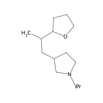 CC(CC1CCN(C(C)C)C1)C1CCCO1